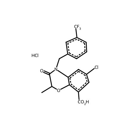 CC1Oc2c(C(=O)O)cc(Cl)cc2N(Cc2cccc(C(F)(F)F)c2)C1=O.Cl